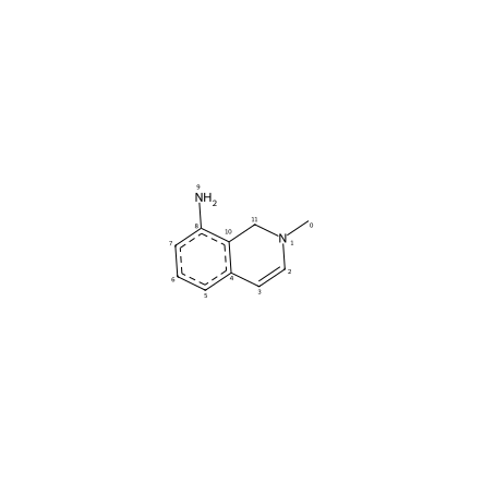 CN1C=Cc2cccc(N)c2C1